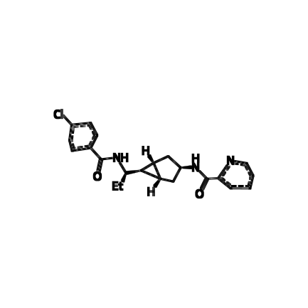 CC[C@@H](NC(=O)c1ccc(Cl)cc1)[C@H]1[C@@H]2C[C@@H](NC(=O)c3ccccn3)C[C@@H]21